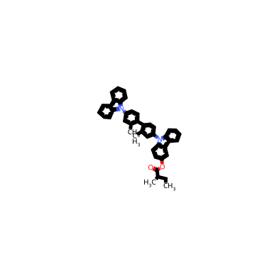 CCC(C)C(=O)Oc1ccc2c(c1)c1ccccc1n2-c1ccc(-c2ccc(-n3c4ccccc4c4ccccc43)cc2C)c(C)c1